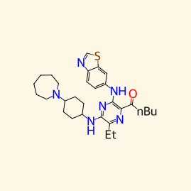 CCCCC(=O)c1nc(CC)c(NC2CCC(N3CCCCCC3)CC2)nc1Nc1ccc2ncsc2c1